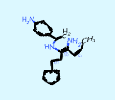 C=C(NC(/C=C/c1ccccc1)=C(N)/C=C\C)c1ccc(N)cc1